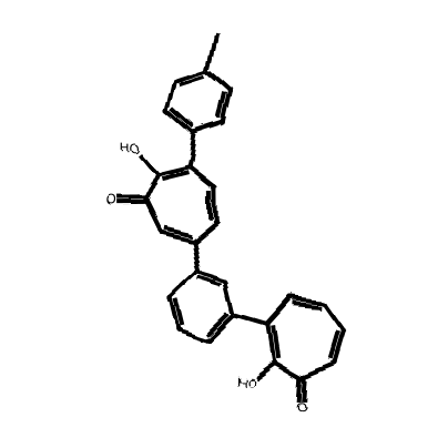 Cc1ccc(-c2ccc(-c3cccc(-c4ccccc(=O)c4O)c3)cc(=O)c2O)cc1